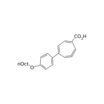 CCCCCCCCOc1ccc(C2=CC=C(C(=O)O)C=C=C2)cc1